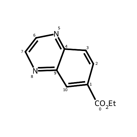 CCOC(=O)c1ccc2nccnc2c1